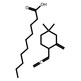 C=C=CC1CCC(C)(C)CC1=C.CCCCCCCCCC(=O)O